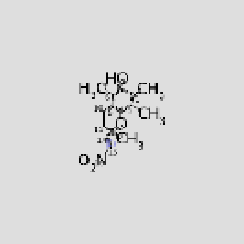 Cc1c(C)c2c(c(C)c1O)CCC(C)(/C=C/[N+](=O)[O-])O2